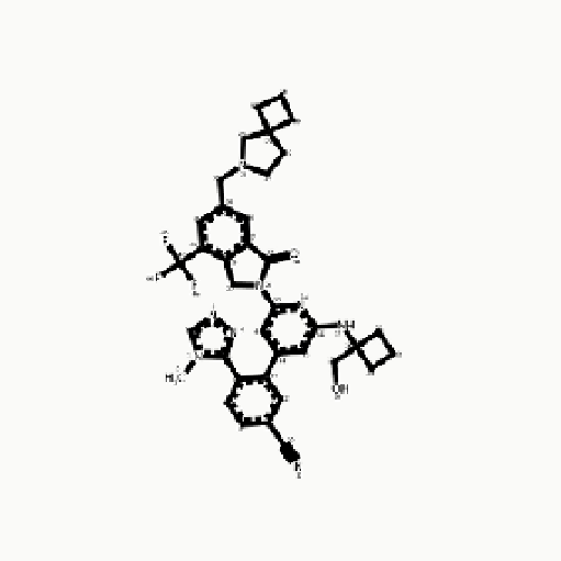 Cn1cnnc1-c1ccc(C#N)cc1-c1cc(NC2(CO)CCC2)nc(N2Cc3c(cc(CN4CCC5(CCC5)C4)cc3C(F)(F)F)C2=O)c1